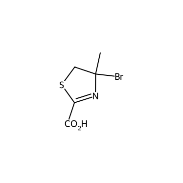 CC1(Br)CSC(C(=O)O)=N1